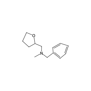 CN(Cc1ccccc1)CC1CCCO1